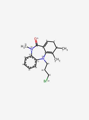 CC1=C2C(=CCC1C)C(=O)N(C)c1ccccc1N2CCCBr